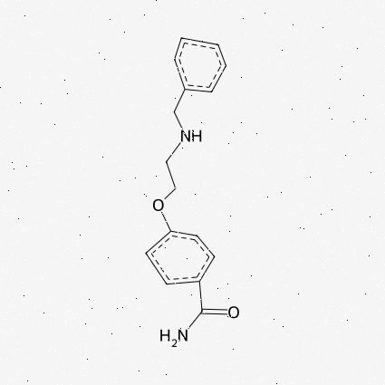 NC(=O)c1ccc(OCCNCc2ccccc2)cc1